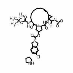 C1CCNC1.CC(C)(C)OC(=O)NC1CCCCCC=CC2CC2(C(=O)N=S(=O)=O)NC(=O)C2CC(OC(=O)N3Cc4ccc(Cl)cc4C3)CN2C1=O